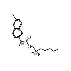 CCCCC[C@](C)(F)COC(=O)[C@@H](C)c1ccc2cc(C)ccc2c1